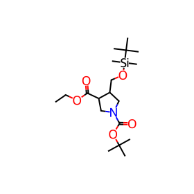 CCOC(=O)C1CN(C(=O)OC(C)(C)C)CC1CO[Si](C)(C)C(C)(C)C